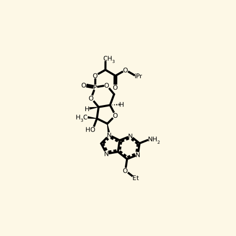 CCOc1nc(N)nc2c1ncn2[C@@H]1O[C@@H]2COP(=O)(OC(C)C(=O)OC(C)C)O[C@H]2[C@@]1(C)O